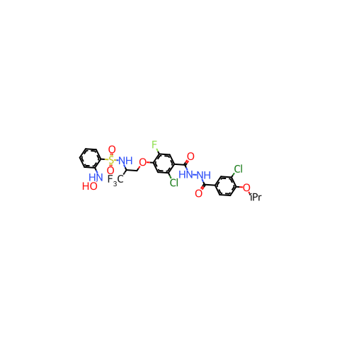 CC(C)Oc1ccc(C(=O)NNC(=O)c2cc(F)c(OCC(NS(=O)(=O)c3ccccc3NO)C(F)(F)F)cc2Cl)cc1Cl